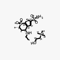 CCN[C@H]1C[C@H](C)S(=O)(=O)c2sc(S(N)(=O)=O)cc21.C[N+](C)(C)CCO